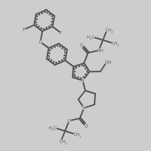 CC(C)(C)NC(=O)c1c(-c2ccc(Oc3c(F)cccc3F)cc2)cn(C2CCN(C(=O)OC(C)(C)C)C2)c1CO